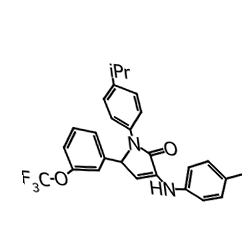 CC(C)c1ccc(NC2=CC(c3cccc(OC(F)(F)F)c3)N(c3ccc(C(C)C)cc3)C2=O)cc1